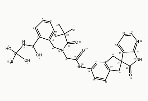 BC(O)(O)NC(O)c1ccccc1CN(CC(=O)Nc1ccc2c(c1)CC1(C2)C(=O)Nc2ncccc21)C(=O)C(C)(C)C